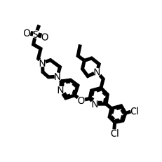 CCC1CCN(Cc2cc(Oc3ccc(N4CCN(CCCS(C)(=O)=O)CC4)nc3)nc(-c3cc(Cl)cc(Cl)c3)c2)CC1